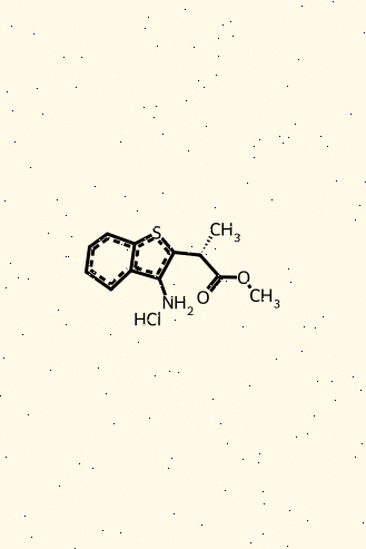 COC(=O)[C@@H](C)c1sc2ccccc2c1N.Cl